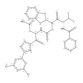 CC(C)[C@H](NC(=O)c1ccccc1)C(=O)N(CC(=O)NC(CC(=O)O)C(=O)c1nc(-c2cc(Cl)cc(Cl)c2)co1)C1Cc2ccccc2C1